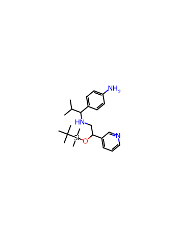 CC(C)C(NCC(O[Si](C)(C)C(C)(C)C)c1cccnc1)c1ccc(N)cc1